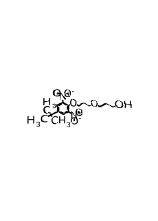 CC(C)(C)c1cc([N+](=O)[O-])c(OCCCOCCCO)c([N+](=O)[O-])c1